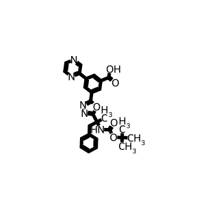 CC(C)(C)OC(=O)NC(C)(Cc1ccccc1)c1nnc(-c2cc(C(=O)O)cc(-c3cnccn3)c2)o1